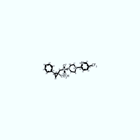 O=C(O)[C@@]1(CS(=O)(=O)N2CCN(c3ccc(C(F)(F)F)cn3)CC2)C[C@H]1c1ccccc1